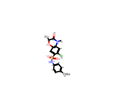 CCC1Oc2cc(S(=O)(=O)Nc3ccc(OC)cc3)c(Br)cc2N(C)C1=O